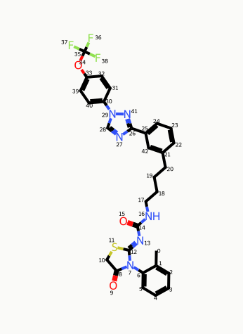 Cc1ccccc1N1C(=O)CSC1=NC(=O)NCCCCc1cccc(-c2ncn(-c3ccc(OC(F)(F)F)cc3)n2)c1